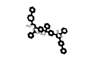 C=C(/C=C(\N=C(/C)c1ccccc1)c1ccc(C(C)(c2ccccc2)c2ccc(C3=CC(c4ccc(-c5ccccc5)cc4)=NC(C4=CCCC=C4)N3)cc2)cc1)C1=CCC=C(c2ccccc2)C=C1